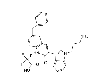 NCCCn1cc(-c2nc3cc(Cc4ccccc4)ccc3[nH]c2=O)c2ccccc21.O=C(O)C(F)(F)F